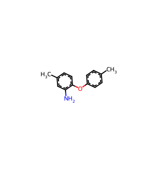 Cc1ccc(Oc2ccc(C)cc2N)cc1